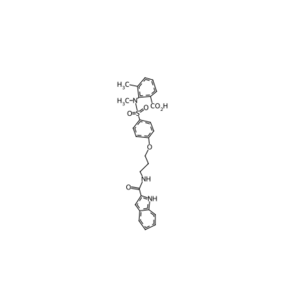 Cc1cccc(C(=O)O)c1N(C)S(=O)(=O)c1ccc(OCCCNC(=O)c2cc3ccccc3[nH]2)cc1